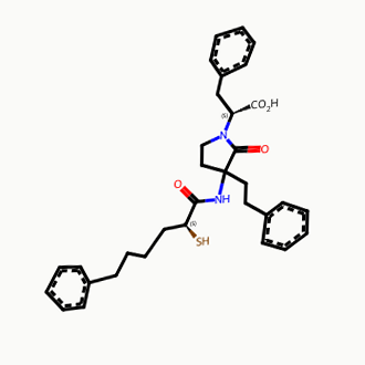 O=C(NC1(CCc2ccccc2)CCN([C@@H](Cc2ccccc2)C(=O)O)C1=O)[C@@H](S)CCCCc1ccccc1